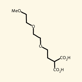 COCCOCCOCCC(C(=O)O)C(=O)O